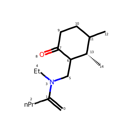 C=C(CCC)N(CC)CC1C(=O)CCC(C)[C@@H]1C